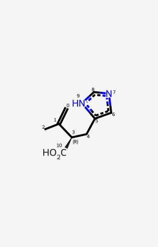 C=C(C)[C@@H](Cc1cnc[nH]1)C(=O)O